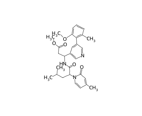 COC(=O)CC(NC(=O)C(CC(C)C)n1ccc(C)cc1=O)c1cncc(-c2c(C)cccc2OC)c1